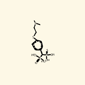 CN(C)CCSc1ccc(C(P(=O)(O)O)P(O)(O)=S)cc1